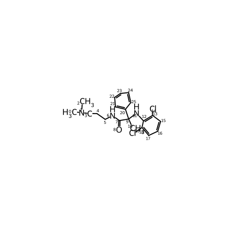 CN(C)CCCNC(=O)C(C)(Nc1c(Cl)cccc1Cl)c1ccccc1